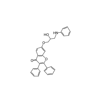 O=c1c(-c2ccccc2)c(-c2ccccc2)oc2cc(OCC(O)CNc3ccccc3)ccc12